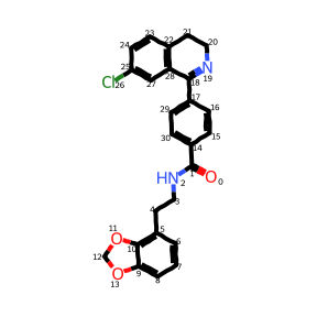 O=C(NCCc1cccc2c1OCO2)c1ccc(C2=NCCc3ccc(Cl)cc32)cc1